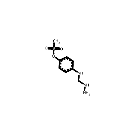 CS(=O)(=O)Oc1ccc(NCNN)cc1